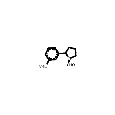 COc1cccc(C2CCCN2C=O)c1